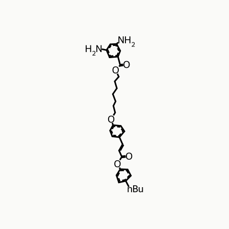 CCCCc1ccc(OC(=O)C=Cc2ccc(OCCCCCCCOC(=O)c3cc(N)cc(N)c3)cc2)cc1